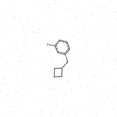 Fc1cccc([CH]C2CCC2)c1